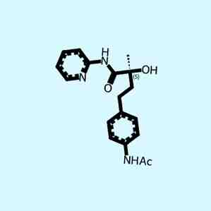 CC(=O)Nc1ccc(CC[C@](C)(O)C(=O)Nc2ccccn2)cc1